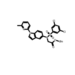 Cc1cccc(-n2ccc3cc(N(CC(=O)OC(C)(C)C)S(=O)(=O)c4cc(Cl)cc(Cl)c4)ccc32)n1